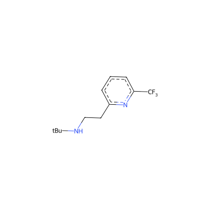 CC(C)(C)NCCc1cccc(C(F)(F)F)n1